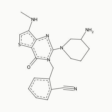 CNc1csc2c(=O)n(Cc3ccccc3C#N)c(N3CCCC(N)C3)nc12